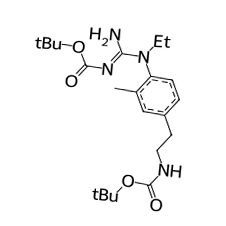 CCN(C(N)=NC(=O)OC(C)(C)C)c1ccc(CCNC(=O)OC(C)(C)C)cc1C